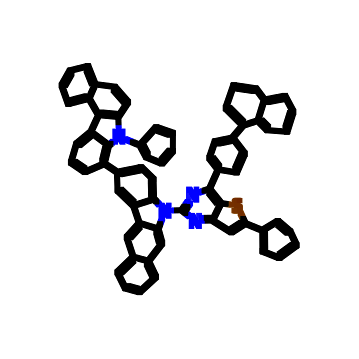 c1ccc(-c2cc3nc(-n4c5ccc(-c6cccc7c8c9ccccc9ccc8n(-c8ccccc8)c67)cc5c5cc6ccccc6cc54)nc(-c4ccc(-c5cccc6ccccc56)cc4)c3s2)cc1